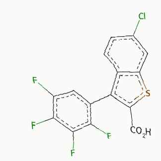 O=C(O)c1sc2cc(Cl)ccc2c1-c1cc(F)c(F)c(F)c1F